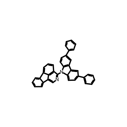 c1ccc(-c2ccc3c(c2)c2cc(-c4ccccc4)ccc2n3-c2ncc3c4c(cccc24)-c2ccccc2-3)cc1